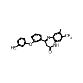 Cc1cc2c(cc1C(F)(F)F)NC(=O)CC(c1cccc(Oc3cccc(S)c3)c1)=N2